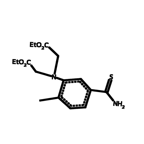 CCOC(=O)CN(CC(=O)OCC)c1cc(C(N)=S)ccc1C